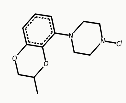 CC1COc2cccc(N3CCN(Cl)CC3)c2O1